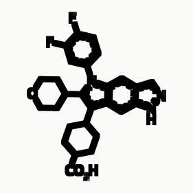 O=C(O)C1CCC(c2c(C3CCOCC3)n(-c3ccc(F)c(F)c3)c3cc4cn[nH]c4cc23)CC1